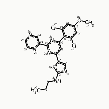 CCCNc1ncc(-c2cc(-c3c(Cl)cc(OC)cc3Cl)nc(-c3cnccn3)n2)s1